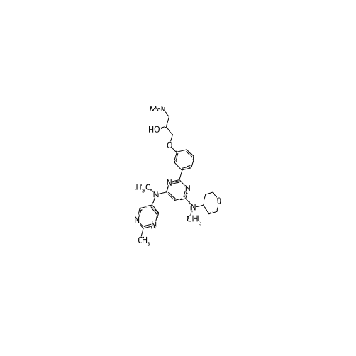 CNCC(O)COc1cccc(-c2nc(N(C)c3cnc(C)nc3)cc(N(C)C3CCOCC3)n2)c1